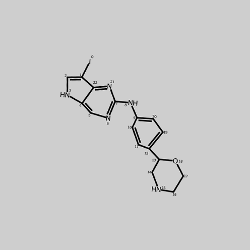 Ic1c[nH]c2cnc(Nc3ccc(C4CNCCO4)cc3)nc12